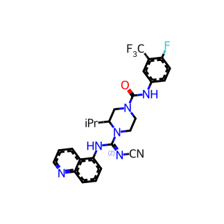 CC(C)C1CN(C(=O)Nc2ccc(F)c(C(F)(F)F)c2)CCN1/C(=N\C#N)Nc1cccc2ncccc12